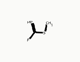 CSC(F)=P